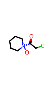 O=C(CCl)[N+]1([O-])CCCCC1